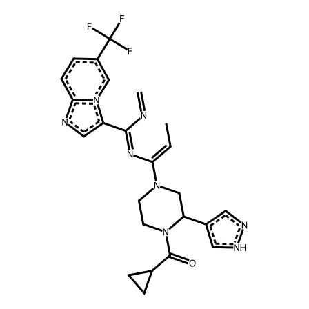 C=N/C(=N\C(=C/C)N1CCN(C(=O)C2CC2)C(c2cn[nH]c2)C1)c1cnc2ccc(C(F)(F)F)cn12